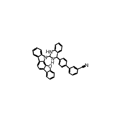 N#Cc1cccc(-c2ccc(C3NC(n4c5ccccc5c5ccc6c7ccccc7oc6c54)Nc4ccccc43)cc2)c1